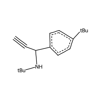 C#CC(NC(C)(C)C)c1ccc(C(C)(C)C)cc1